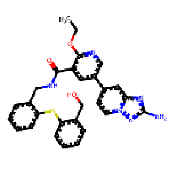 CCOc1ncc(-c2ccn3nc(N)nc3c2)cc1C(=O)NCc1ccccc1Sc1ccccc1CO